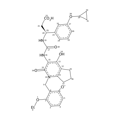 CCOc1cccc(Cl)c1Cn1c2c(c(O)c(NC(=O)N[C@@H](CC(=O)O)c3cccc(OC4CC4)c3)c1=O)CCC2